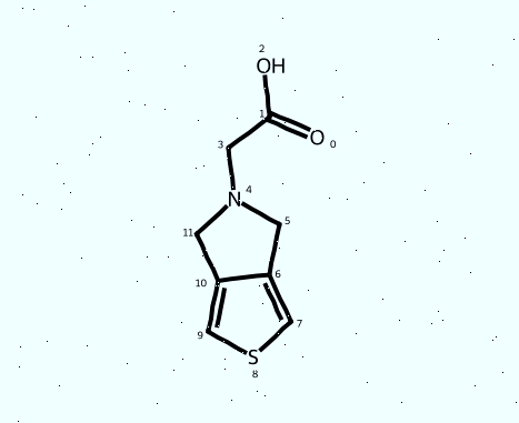 O=C(O)CN1Cc2cscc2C1